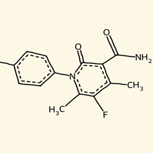 Cc1c(F)c(C)n(-c2ccc(F)cc2)c(=O)c1C(N)=O